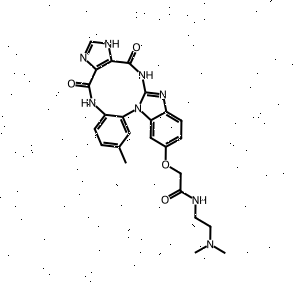 Cc1ccc2[nH]c(=O)c3nc[nH]c3c(=O)[nH]c3nc4ccc(OCC(=O)NCCN(C)C)cc4n3c2c1